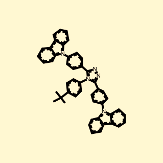 CC(C)(C)c1ccc(-n2c(-c3ccc(-n4c5ccccc5c5ccccc54)cc3)nnc2-c2ccc(-n3c4ccccc4c4ccccc43)cc2)cc1